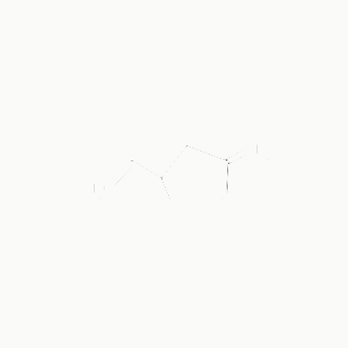 C=CC(F)CC(=C)O